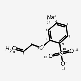 C=CCOc1ccccc1S(=O)(=O)[O-].[Na+]